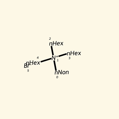 CCCCCCCCC[N+](CCCCCC)(CCCCCC)CCCCCC.[Br-]